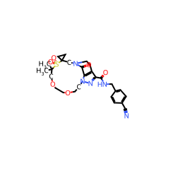 CC1(C)COCCOCCn2nc(C(=O)NCc3ccc(C#N)cc3)c3c2C(=O)N(CC3)CC2(CC2)S1(=O)=O